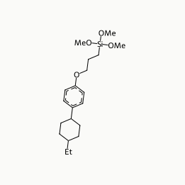 CCC1CCC(c2ccc(OCCC[Si](OC)(OC)OC)cc2)CC1